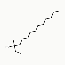 [CH2]CC(C)(O)CCCCCCCCCCC